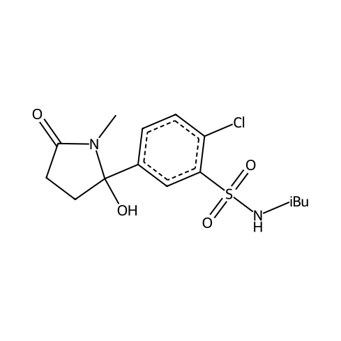 CCC(C)NS(=O)(=O)c1cc(C2(O)CCC(=O)N2C)ccc1Cl